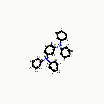 c1ccc(N(c2ccccc2)c2cccc(N(c3ccccc3)c3ccccc3)c2)cc1